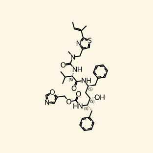 CC=C(C)c1nc(CN(C)C(=O)N[C@H](C(=O)N[C@@H](Cc2ccccc2)C[C@H](O)[C@H](Cc2ccccc2)NC(=O)OCc2cnco2)C(C)C)cs1